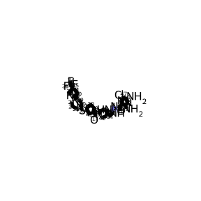 Nc1nc(N)c(C(=O)/N=C2\NCC3(CCN(C(=O)c4cccc(SN5CCCN(c6ccc(C(F)(F)F)cn6)CC5)c4)CC3)N2)nc1Cl